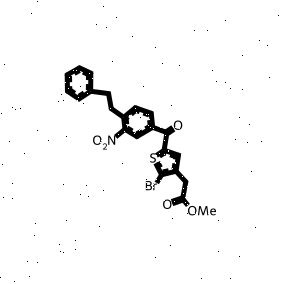 COC(=O)Cc1cc(C(=O)c2ccc(CCc3ccccc3)c([N+](=O)[O-])c2)sc1Br